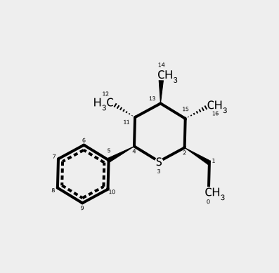 CC[C@H]1S[C@@H](c2ccccc2)[C@H](C)[C@@H](C)[C@@H]1C